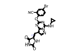 N#Cc1cc(Br)ccc1Oc1nc(NC2CC2)n2ncc(/C=C3\NC(=O)NC3=O)c2n1